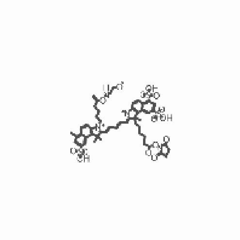 C=C(CCCC[N+]1=C(/C=C/C=C/C=C2\N(C)c3ccc4c(S(=O)(=O)O)cc(S(=O)(=O)O)cc4c3C2(C)CCCCCC(=O)ON2C(=O)CCC2=O)C(C)(C)c2c1ccc1c(C)cc(S(=O)(=O)O)cc21)ONCCOC